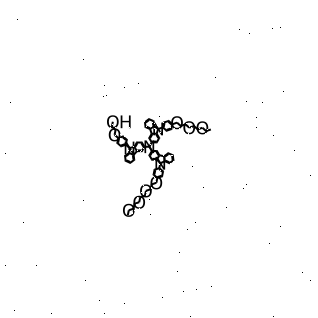 CCOCCOCCOc1ccc(-n2c3ccccc3c3cc(N(c4ccc5c(c4)c4ccccc4n5-c4ccc(OCCO)cc4)c4ccc5c(c4)c4ccccc4n5-c4ccc(OCCOCCOCCOC)cc4)ccc32)cc1